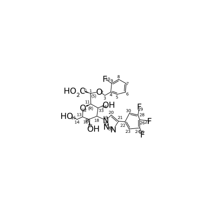 O=C(O)[C@@H](OCc1ccccc1F)[C@@H]1OC(CO)[C@H](O)C(n2cc(-c3cc(F)c(F)c(F)c3)nn2)C1O